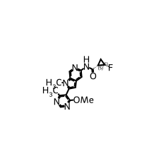 COc1ncnc(C)c1-c1cc2cc(NC(=O)[C@@H]3C[C@@H]3F)ncc2n1C